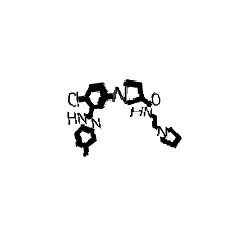 Cc1ccc2[nH]c(-c3cc(N4CCC(C(=O)NCCN5CCCC5)C4)ccc3Cl)nc2c1